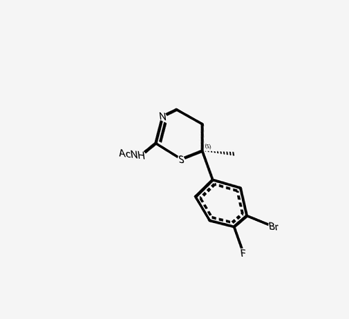 CC(=O)NC1=NCC[C@@](C)(c2ccc(F)c(Br)c2)S1